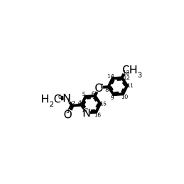 C=NC(=O)c1cc(Oc2cccc(C)c2)ccn1